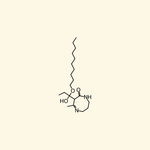 CCCCCCCCCCOC(O)(CC)C1C(=O)NCCCN=C1C